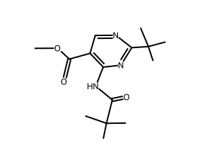 COC(=O)c1cnc(C(C)(C)C)nc1NC(=O)C(C)(C)C